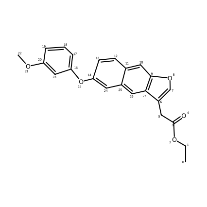 CCOC(=O)Cc1coc2cc3ccc(Oc4cccc(OC)c4)cc3cc12